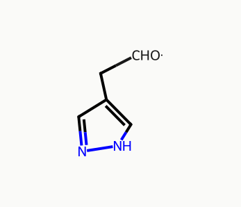 O=[C]Cc1cn[nH]c1